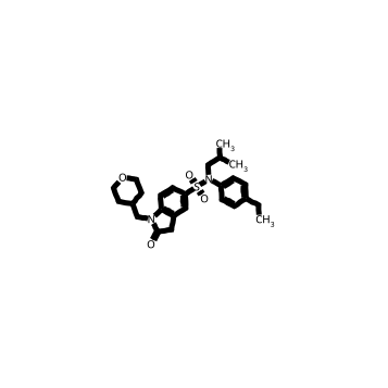 CCc1ccc(N(CC(C)C)S(=O)(=O)c2ccc3c(c2)CC(=O)N3CC2CCOCC2)cc1